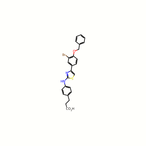 O=C(O)CCc1ccc(Nc2nc(-c3ccc(OCc4ccccc4)c(Br)c3)cs2)cc1